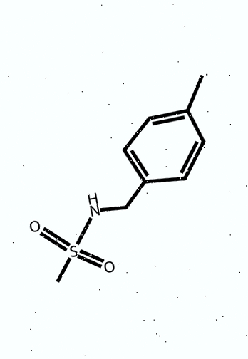 [CH2]c1ccc(CNS(C)(=O)=O)cc1